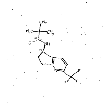 CC(C)(C)[S@@+]([O-])N[C@@H]1CCc2nc(C(F)(F)F)ccc21